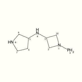 PN1CC(NC2CCNC2)C1